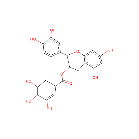 O=C(OC1Cc2c(O)cc(O)cc2OC1c1ccc(O)c(O)c1)C1C=C(O)C(O)=C(O)C1